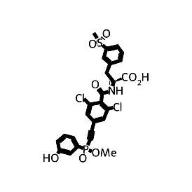 COP(=O)(C#Cc1cc(Cl)c(C(=O)N[C@@H](Cc2cccc(S(C)(=O)=O)c2)C(=O)O)c(Cl)c1)c1cccc(O)c1